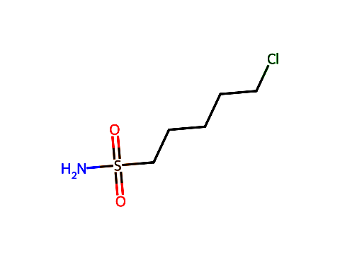 NS(=O)(=O)CCCCCCl